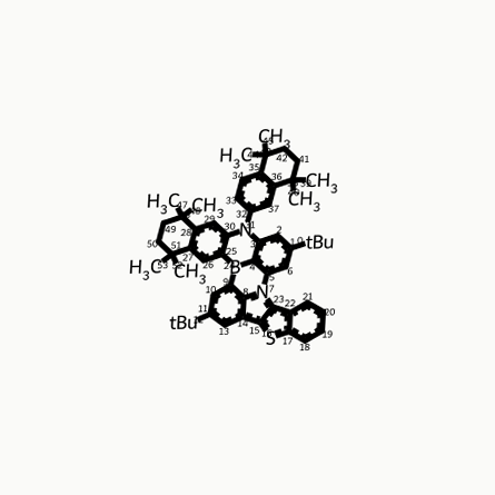 CC(C)(C)c1cc2c3c(c1)-n1c4c(cc(C(C)(C)C)cc4c4sc5ccccc5c41)B3c1cc3c(cc1N2c1ccc2c(c1)C(C)(C)CCC2(C)C)C(C)(C)CCC3(C)C